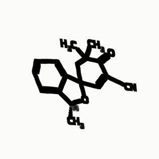 C[C@H]1OC2(C=C(C#N)C(=O)C(C)(C)C2)c2ccccc21